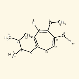 COC1=C(F)C=C(CC(C)C(C)C)CC=C1OI